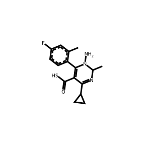 Cc1cc(F)ccc1C1=C(C(=O)S)C(C2CC2)=NC(C)N1N